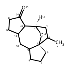 CC1C[C@H]2O[C@@]13CCCC3CC1CCC(=O)C12